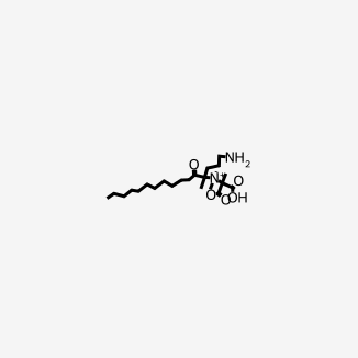 CCCCCCCCCCCC(=O)C(C)(CCCN)[N+](C)(C)C(C)(C(=O)[O-])C(=O)O